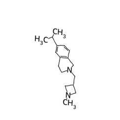 CC(C)c1ccc2c(c1)CCN(CC1CN(C)C1)C2